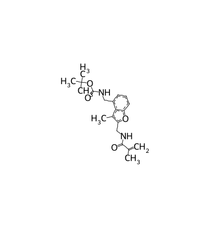 C=C(C)C(=O)NCc1oc2cccc(CNC(=O)OC(C)(C)C)c2c1C